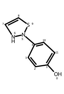 Oc1ccc(N2NC=CS2)cc1